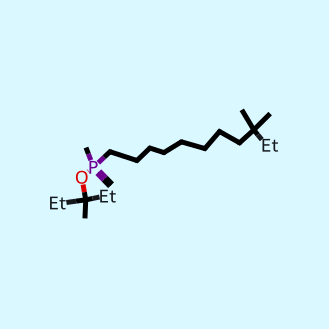 C=P(C)(CCCCCCCCC(C)(C)CC)OC(C)(CC)CC